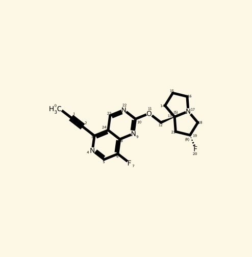 CC#Cc1ncc(F)c2nc(OC[C@@]34CCCN3C[C@H](F)C4)ncc12